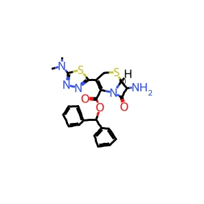 CN(C)c1nnc(C2=C(C(=O)OC(c3ccccc3)c3ccccc3)N3C(=O)C(N)[C@H]3SC2)s1